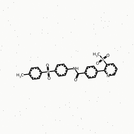 Cc1ccc(S(=O)(=O)c2ccc(NC(=O)c3ccc(-c4ncccc4S(C)(=O)=O)cc3)cc2)cc1